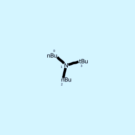 CCCCN(CCCC)C(C)(C)C